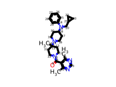 Cc1ncnc(C)c1C(=O)N1CCC(C)(N2CCC(N(CC3CC3)c3ccccc3)CC2)CC1